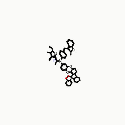 C=Cc1o/c(=C(/C)N(c2ccc(Cc3c(C)oc4ccccc34)cc2)c2ccc3c(c2)Oc2ccc4c(c2O3)C2(c3ccccc3-c3ccccc32)c2ccccc2-4)c(=C)c1C